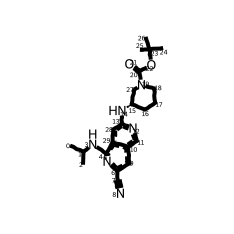 CC(C)Nc1nc(C#N)cc2cnc(N[C@H]3CCCN(C(=O)OC(C)(C)C)C3)cc12